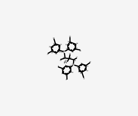 Cc1cc(C)cc(P(c2cc(C)cc(C)c2)C(C)C(C)(C(C)C)C(C)P(c2cc(C)cc(C)c2)c2cc(C)cc(C)c2)c1